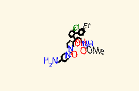 CCc1cccc(-c2c(Cl)cccc2[C@](O)(CCCNC(=O)OC)[C@@H]2CCCN(C(=O)N3CCC(CN)CC3)C2)c1